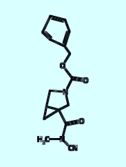 CN(C#N)C(=O)C12CC1CN(C(=O)OCc1ccccc1)C2